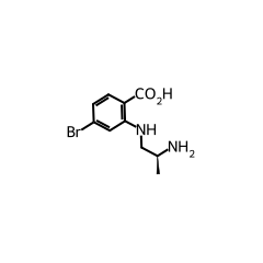 C[C@H](N)CNc1cc(Br)ccc1C(=O)O